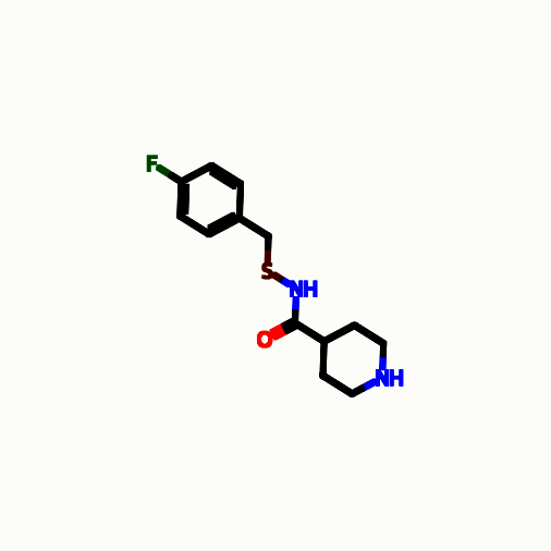 O=C(NSCc1ccc(F)cc1)C1CCNCC1